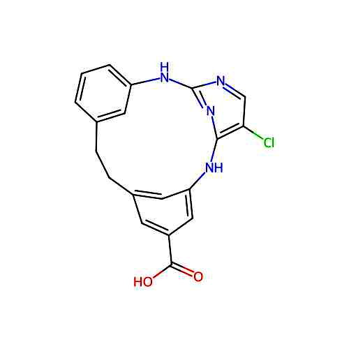 O=C(O)c1cc2cc(c1)Nc1nc(ncc1Cl)Nc1cccc(c1)CC2